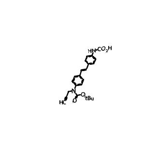 C#CCN(C(=O)OC(C)(C)C)c1ccc(C=Cc2ccc(NC(=O)O)cc2)cc1